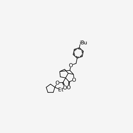 CCC(C)c1ccc(COC2C3CC4C2OC(=O)C4(C(=O)OC2(CC)CCCC2)C3)cc1